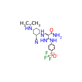 CC(C)N[C@@H]1CC[C@H](N/C=C(\C(=N)Nc2ccc([S+]([O-])C(F)(F)F)cc2)C(N)=O)C(C#N)C1